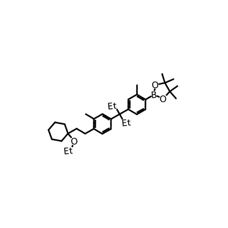 CCOC1(CCc2ccc(C(CC)(CC)c3ccc(B4OC(C)(C)C(C)(C)O4)c(C)c3)cc2C)CCCCC1